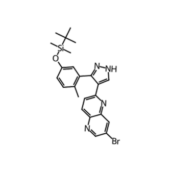 Cc1ccc(O[Si](C)(C)C(C)(C)C)cc1-c1n[nH]cc1-c1ccc2ncc(Br)cc2n1